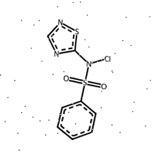 O=S(=O)(c1ccccc1)N(Cl)c1ncns1